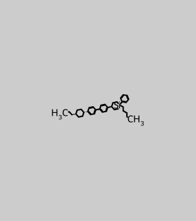 CCCCC[Si]1(c2ccccc2)CCC(c2ccc(-c3ccc([C@H]4CC[C@H](CCC)CC4)cc3)cc2)CC1